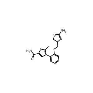 Cc1sc(C(N)=O)cc1-c1ccccc1CCC1COC(N)=N1